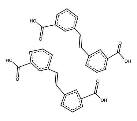 O=C(O)c1cccc(C=Cc2cccc(C(=O)O)c2)c1.O=C(O)c1cccc(C=Cc2cccc(C(=O)O)c2)c1